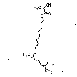 CC(C)CCC[C@H](C)CCCCCCCCCOC(=O)C(C)C